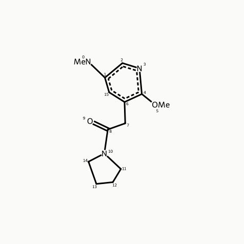 CNc1cnc(OC)c(CC(=O)N2CCCC2)c1